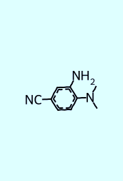 CN(C)c1ccc(C#N)cc1N